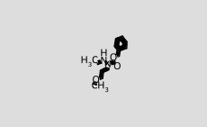 CCNN(CCCOC)C(=O)OCc1ccccc1